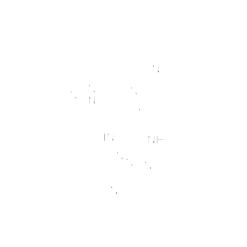 CCN(CC)CCNC(=O)c1cc(Nc2cc(NC3CC3)c3ncc(C#N)n3n2)cc(-n2cncn2)c1